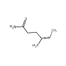 CC=C(C)CCC(N)=O